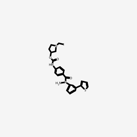 NN(C(=O)c1ccc(NC(=O)OC2CCN(CI)C2)cc1)c1cccc(-c2cccs2)c1